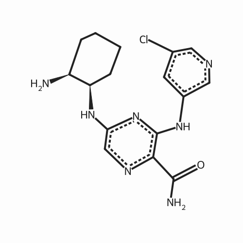 NC(=O)c1ncc(N[C@@H]2CCCC[C@@H]2N)nc1Nc1cncc(Cl)c1